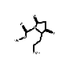 CSCCC1C(=O)CC(=O)N1C(=O)OC(C)(C)C